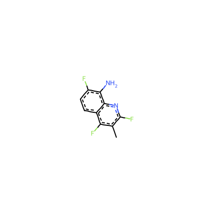 Cc1c(F)nc2c(N)c(F)ccc2c1F